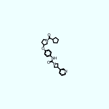 O=C(Nc1ccc(OC2CCN(C(=O)C3CCCC3)C2)cc1)N1CC(c2cccnc2)C1